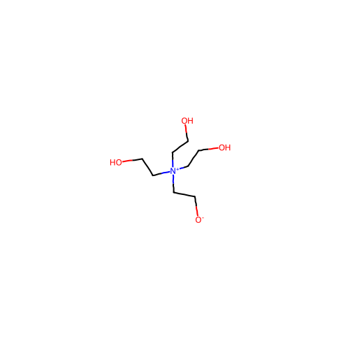 [O-]CC[N+](CCO)(CCO)CCO